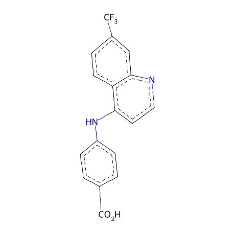 O=C(O)c1ccc(Nc2ccnc3cc(C(F)(F)F)ccc23)cc1